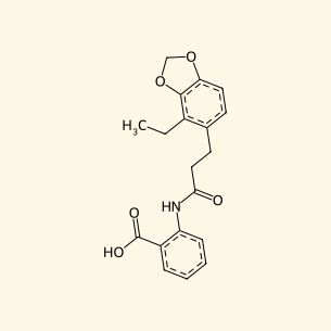 CCc1c(CCC(=O)Nc2ccccc2C(=O)O)ccc2c1OCO2